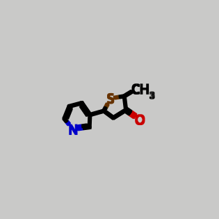 CC1SC(c2cccnc2)CC1=O